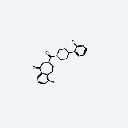 Cc1cccc2c1CCC(C(=O)N1CCC(c3ccccc3F)CC1)CC2=O